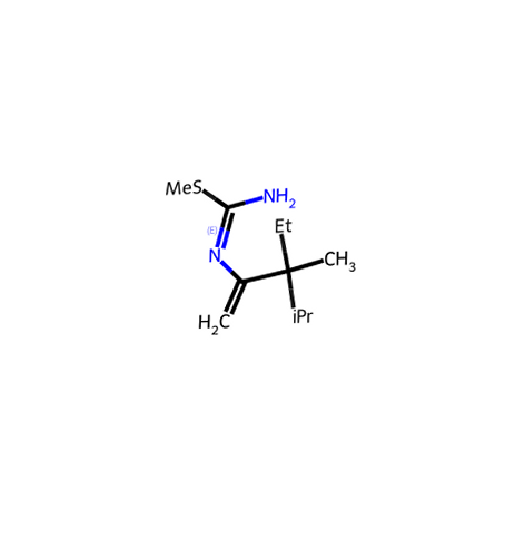 C=C(/N=C(\N)SC)C(C)(CC)C(C)C